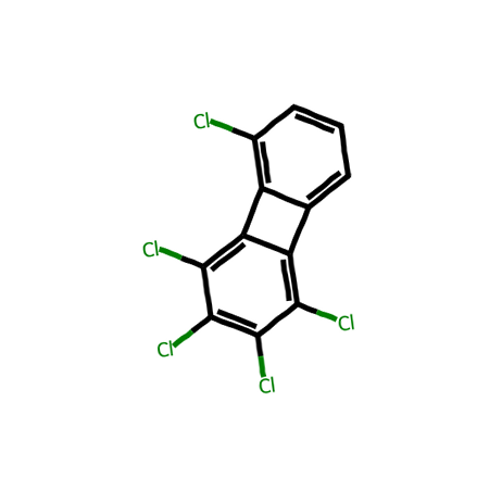 Clc1cccc2c1-c1c(Cl)c(Cl)c(Cl)c(Cl)c1-2